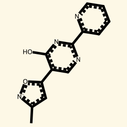 Cc1cc(-c2cnc(-c3ccccn3)nc2O)on1